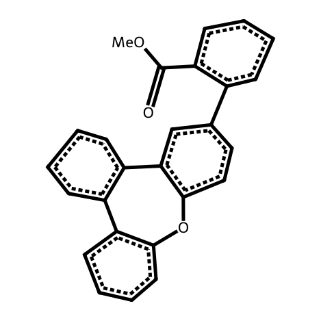 COC(=O)c1ccccc1-c1ccc2c(c1)-c1ccccc1-c1ccccc1O2